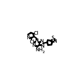 Nc1ncn(Cc2c(Cl)ccnc2Cl)c2nc(-c3ccc4ncsc4c3)nc1-2